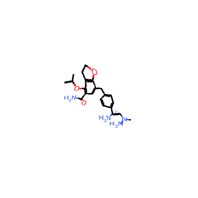 CC(C)Oc1c(C(N)=O)cc(Cc2ccc(/C(N)=C/N(C)N)cc2)c2c1CCO2